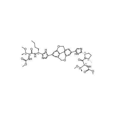 CCCC[C@H](NC(=O)[C@@H](NC(=O)OC)[C@@H](C)OC)c1ncc(-c2cc3c4c(c2)OCc2cc(-c5cnc([C@@H]6CC[C@H](C)N6C(=O)[C@@H](NC(=O)OC)[C@@H](C)OC)[nH]5)cc(c2-4)OC3)[nH]1